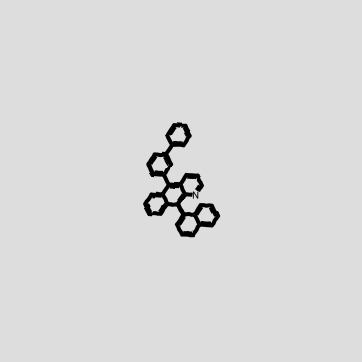 c1ccc(-c2cccc(-c3c4ccccc4c(-c4cccc5ccccc45)c4ncccc34)c2)cc1